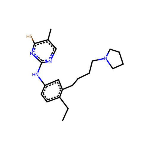 CCc1ccc(Nc2ncc(C)c(S)n2)cc1CCCCN1CCCC1